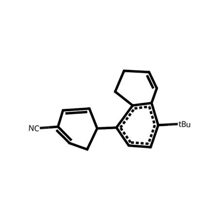 CC(C)(C)c1ccc(C2C=CC(C#N)=CC2)c2c1C=CCC2